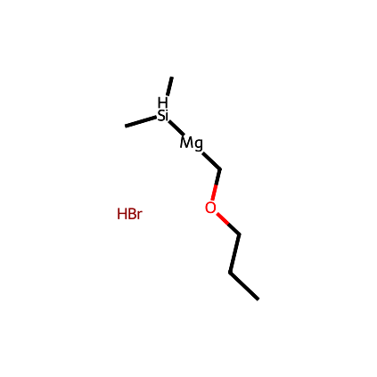 Br.CCCO[CH2][Mg][SiH](C)C